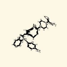 CCc1ccc(-n2c(-c3ccc(N4CCN(C(N)=O)CC4)nc3)nc3ccncc32)cc1